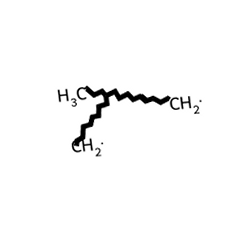 [CH2]CCC/C=C/CCCCC(CCCC)CCCCCCCC[CH2]